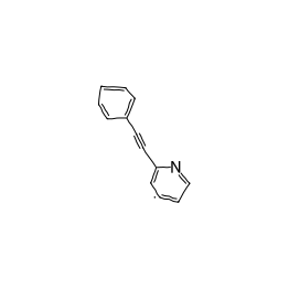 C(#Cc1c[c]ccn1)c1ccccc1